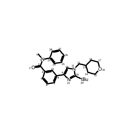 CN(C(=O)c1cccc(-c2cn(CC3CCOCC3)c(C(C)(C)C)n2)c1)c1ccccc1